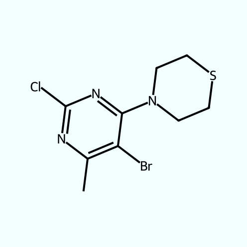 Cc1nc(Cl)nc(N2CCSCC2)c1Br